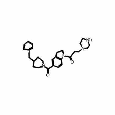 O=C(c1ccc2c(c1)CCN2C(=O)CCN1CCNCC1)N1CCC(Cc2ccccc2)CC1